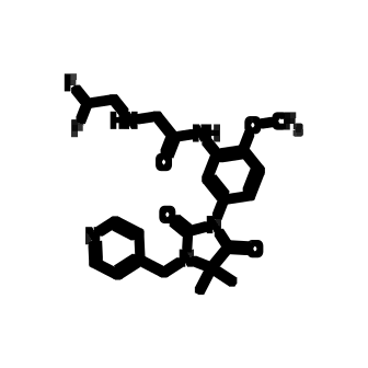 CC1(C)C(=O)N(c2ccc(OC(F)(F)F)c(NC(=O)CNCC(F)F)c2)C(=O)N1Cc1ccncc1